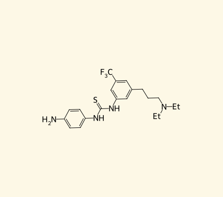 CCN(CC)CCCc1cc(NC(=S)Nc2ccc(N)cc2)cc(C(F)(F)F)c1